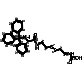 O=C(O)NCCSSCCNC(=O)CNC(c1ccccc1)(c1ccccc1)c1ccccc1